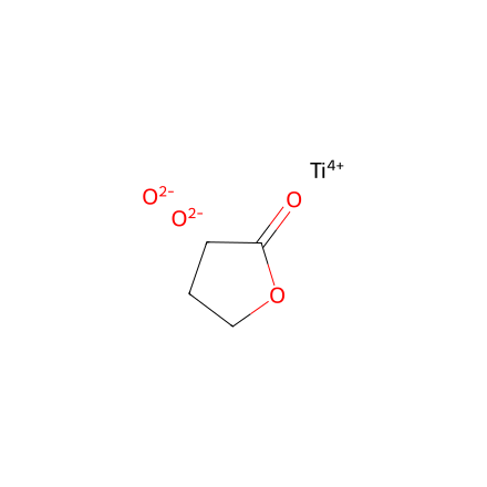 O=C1CCCO1.[O-2].[O-2].[Ti+4]